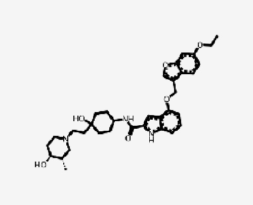 CCOc1ccc2c(COc3cccc4[nH]c(C(=O)NC5CCC(O)(CCN6CC[C@H](O)[C@@H](C)C6)CC5)cc34)coc2c1